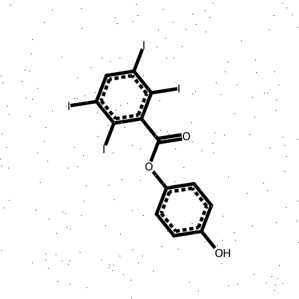 O=C(Oc1ccc(O)cc1)c1c(I)c(I)cc(I)c1I